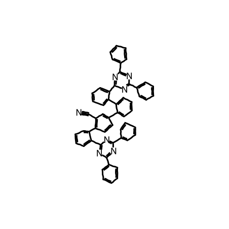 N#Cc1cc(-c2ccccc2-c2ccccc2-c2nc(-c3ccccc3)nc(-c3ccccc3)n2)ccc1-c1ccccc1-c1nc(-c2ccccc2)nc(-c2ccccc2)n1